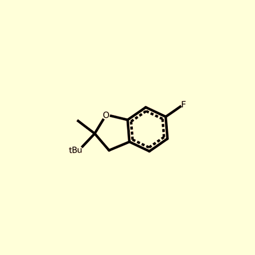 CC(C)(C)C1(C)Cc2ccc(F)cc2O1